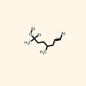 CCOC(C)(CC)CCC(C)C/C=C/C(C)=O